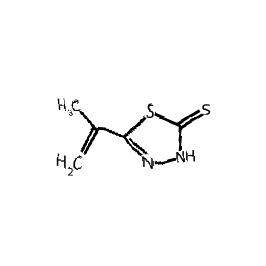 C=C(C)c1n[nH]c(=S)s1